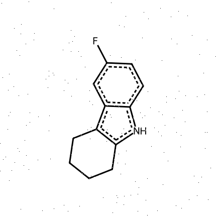 Fc1ccc2[nH]c3c(c2c1)CCCC3